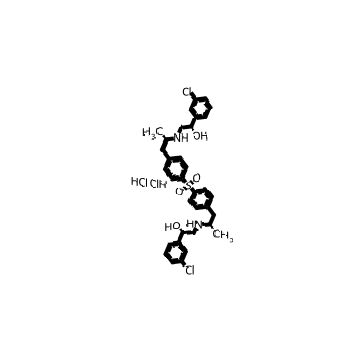 C[C@H](Cc1ccc(S(=O)(=O)c2ccc(C[C@@H](C)NC[C@H](O)c3cccc(Cl)c3)cc2)cc1)NC[C@H](O)c1cccc(Cl)c1.Cl.Cl